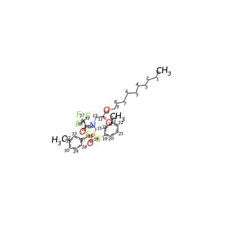 CCCCCCCCCCOC(=O)CN(CP(=O)(Sc1cccc(C)c1)Sc1cccc(C)c1)C(=O)C(F)(F)F